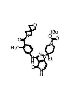 CCC1(n2nc(Nc3ccc(C(=O)N4CC5(COC5)C4)c(C)c3)c3c(=O)[nH]ccc32)CCN(C(=O)OC(C)(C)C)CC1